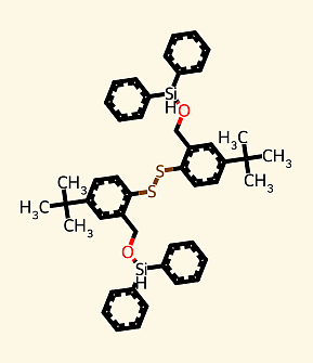 CC(C)(C)c1ccc(SSc2ccc(C(C)(C)C)cc2CO[SiH](c2ccccc2)c2ccccc2)c(CO[SiH](c2ccccc2)c2ccccc2)c1